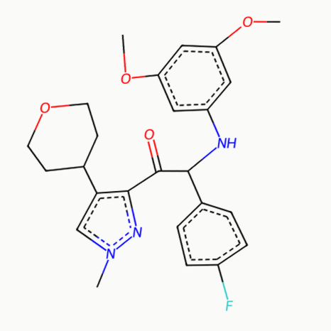 COc1cc(NC(C(=O)c2nn(C)cc2C2CCOCC2)c2ccc(F)cc2)cc(OC)c1